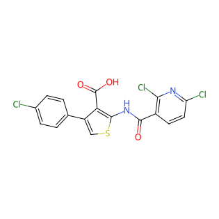 O=C(Nc1scc(-c2ccc(Cl)cc2)c1C(=O)O)c1ccc(Cl)nc1Cl